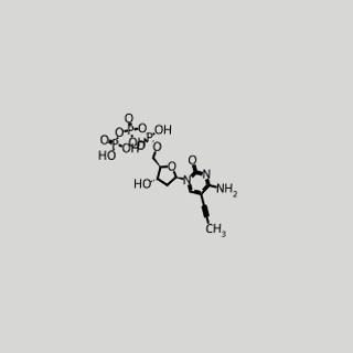 CC#Cc1cn([C@H]2C[C@H](O)[C@@H](COP(=O)(O)OP(=O)(O)OP(=O)(O)O)O2)c(=O)nc1N